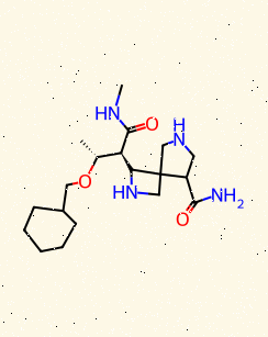 CNC(=O)[C@@H](C1NCC12CNCC2C(N)=O)[C@@H](C)OCC1CCCCC1